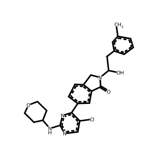 Cc1cccc([CH]C(O)N2Cc3ccc(-c4nc(NC5CCOCC5)ncc4Cl)cc3C2=O)c1